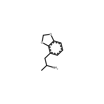 CC(N)Cc1cccc2c1OCO2